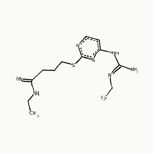 N=C(CCCSc1nccc(NC(N)=NCC(F)(F)F)n1)NCC(F)(F)F